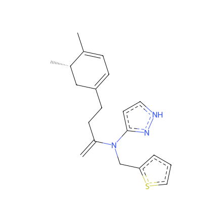 C=C(CCC1=CC=C(C)[C@@H](C)C1)N(Cc1cccs1)c1cc[nH]n1